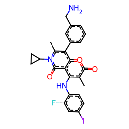 Cc1c(Nc2ccc(I)cc2F)c2c(=O)n(C3CC3)c(C)c(-c3cccc(CN)c3)c2oc1=O